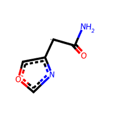 NC(=O)[CH]c1cocn1